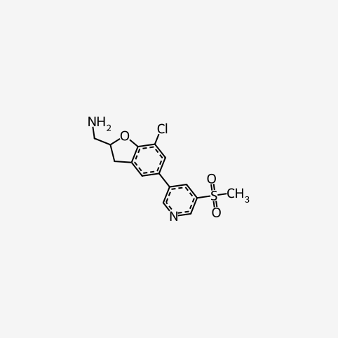 CS(=O)(=O)c1cncc(-c2cc(Cl)c3c(c2)CC(CN)O3)c1